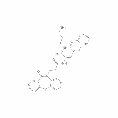 NCCCNC(=O)[C@@H](Cc1ccc2ccccc2c1)NC(=O)CCN1C(=O)c2ccccc2Sc2ccccc21